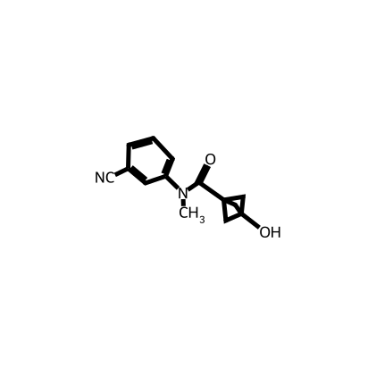 CN(C(=O)C12CC(O)(C1)C2)c1cccc(C#N)c1